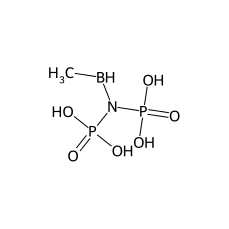 CBN(P(=O)(O)O)P(=O)(O)O